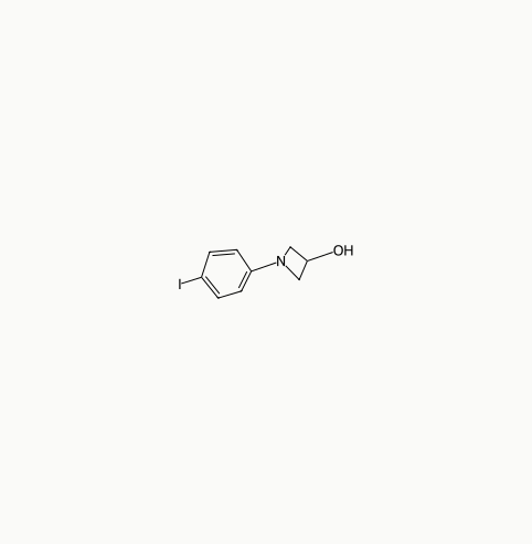 OC1CN(c2ccc(I)cc2)C1